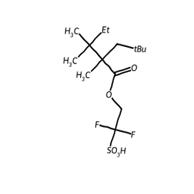 CCC(C)(C)C(C)(CC(C)(C)C)C(=O)OCC(F)(F)S(=O)(=O)O